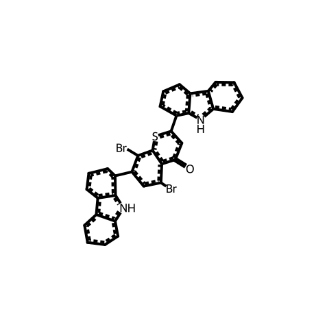 O=c1cc(-c2cccc3c2[nH]c2ccccc23)sc2c(Br)c(-c3cccc4c3[nH]c3ccccc34)cc(Br)c12